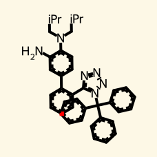 CC(C)CN(CC(C)C)c1ccc(-c2ccccc2-c2nnnn2C(c2ccccc2)(c2ccccc2)c2ccccc2)cc1N